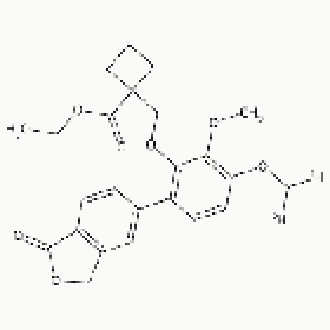 [2H]C([2H])Oc1ccc(-c2ccc3c(c2)COC3=O)c(OCC2(C(=O)OCC)CCC2)c1OC